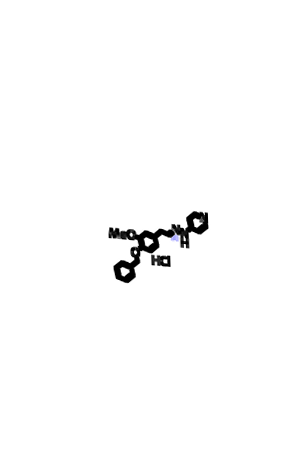 COc1cc(C/C=N/Nc2ccncc2)ccc1OCc1ccccc1.Cl